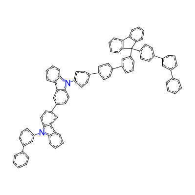 c1ccc(-c2cccc(-c3ccc(C4(c5cccc(-c6ccc(-c7ccc(-n8c9ccccc9c9cc(-c%10ccc%11c(c%10)c%10ccccc%10n%11-c%10cccc(-c%11ccccc%11)c%10)ccc98)cc7)cc6)c5)c5ccccc5-c5ccccc54)cc3)c2)cc1